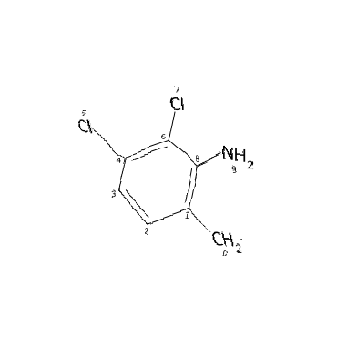 [CH2]c1ccc(Cl)c(Cl)c1N